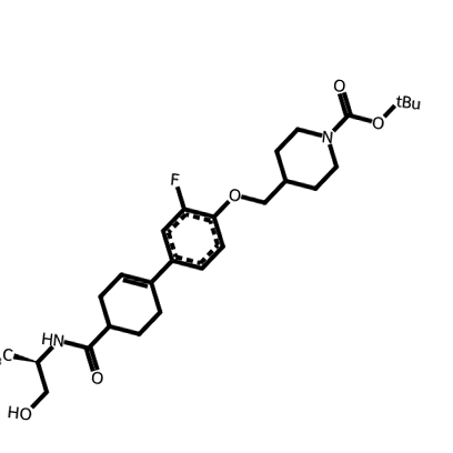 C[C@H](CO)NC(=O)C1CC=C(c2ccc(OCC3CCN(C(=O)OC(C)(C)C)CC3)c(F)c2)CC1